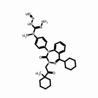 CC1(C(=O)CN2N=C(C3CCCCC3)c3ccccc3N(c3ccc(N(N)C(=NN)NN=N)cc3)C2=O)CCCCC1